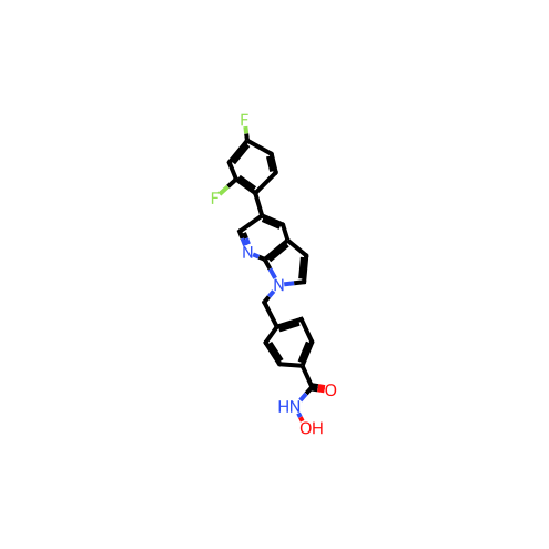 O=C(NO)c1ccc(Cn2ccc3cc(-c4ccc(F)cc4F)cnc32)cc1